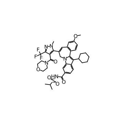 COc1ccc2c(c1)C=C(c1c(C(=O)N3CCOCC3)c(C(F)(F)F)nn1C)Cn1c-2c(C2CCCCC2)c2ccc(C(=O)NS(=O)(=O)C(C)C)cc21